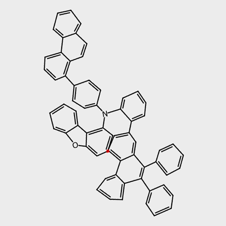 c1ccc(-c2c(-c3ccccc3)c3cc(-c4ccccc4N(c4ccc(-c5cccc6c5ccc5ccccc56)cc4)c4cccc5oc6ccccc6c45)ccc3c3ccccc23)cc1